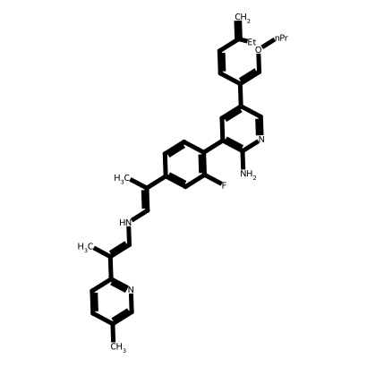 C=C(/C=C\C(=C/OCCC)c1cnc(N)c(-c2ccc(/C(C)=C/N/C=C(\C)c3ccc(C)cn3)cc2F)c1)CC